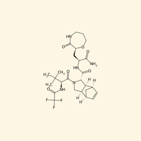 CC(C)(C)[C@H](NC(=O)C(F)(F)F)C(=O)N1C[C@H]2[C@@H]([C@H]1C(=O)N[C@@H](C[C@@H]1OCCCNC1=O)C(N)=O)[C@H]1C=C[C@@H]2C1